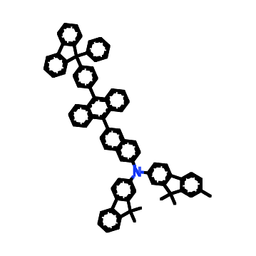 Cc1ccc2c(c1)C(C)(C)c1cc(N(c3ccc4c(c3)C(C)(C)c3ccccc3-4)c3ccc4cc(-c5c6ccccc6c(-c6ccc(C7(c8ccccc8)c8ccccc8-c8ccccc87)cc6)c6ccccc56)ccc4c3)ccc1-2